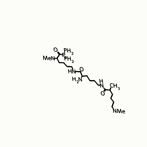 CNCCCCC(C)C(=O)NCCCCC(N)C(=O)NCCCCC(NC)C(=O)P(P)P